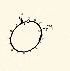 C[C@H]1/C=C\CCCCCCCCCC(=O)OCC1